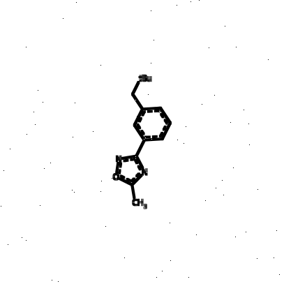 Cc1nc(-c2cccc(CC(C)(C)C)c2)no1